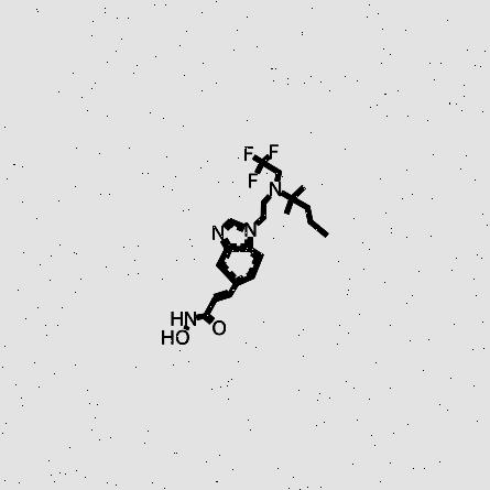 CCCC(C)(C)N(CCn1cnc2cc(C=CC(=O)NO)ccc21)CC(F)(F)F